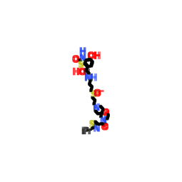 CC(C)c1nc(C(=O)N2CCOC3(CCN(CCC[S+]([O-])CCCCNC[C@H](O)c4ccc(O)c5[nH]c(=O)sc45)CC3)C2)cs1